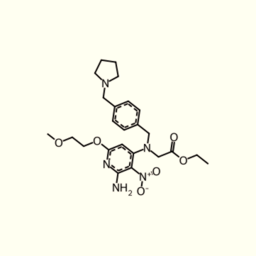 CCOC(=O)CN(Cc1ccc(CN2CCCC2)cc1)c1cc(OCCOC)nc(N)c1[N+](=O)[O-]